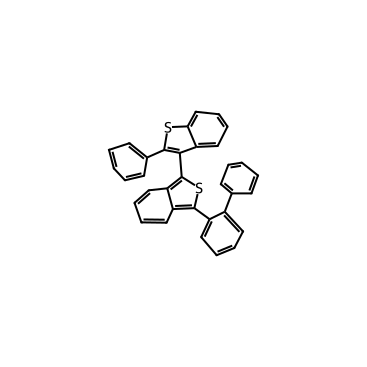 c1ccc(-c2ccccc2-c2sc(-c3c(-c4ccccc4)sc4ccccc34)c3ccccc23)cc1